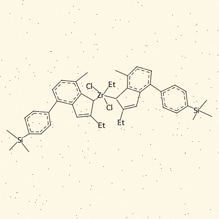 CCC1=Cc2c(-c3ccc([Si](C)(C)C)cc3)ccc(C)c2[CH]1[Zr]([Cl])([Cl])([CH2]C)[CH]1C(CC)=Cc2c(-c3ccc([Si](C)(C)C)cc3)ccc(C)c21